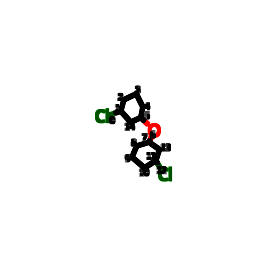 ClC1CCCC(OC2CCCC(Cl)C2)C1